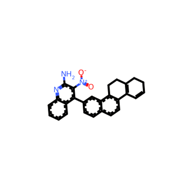 Nc1nc2ccccc2c(-c2ccc3ccc4c(c3c2)CCC2=C4C=CCC2)c1[N+](=O)[O-]